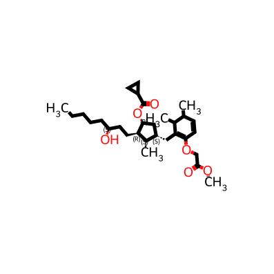 CCCCC[C@H](O)CC[C@@H]1[C@@H](C)[C@@H](CC2=C(OCC(=O)OC)C=CC(C)C2C)C[C@H]1OC(=O)C1CC1